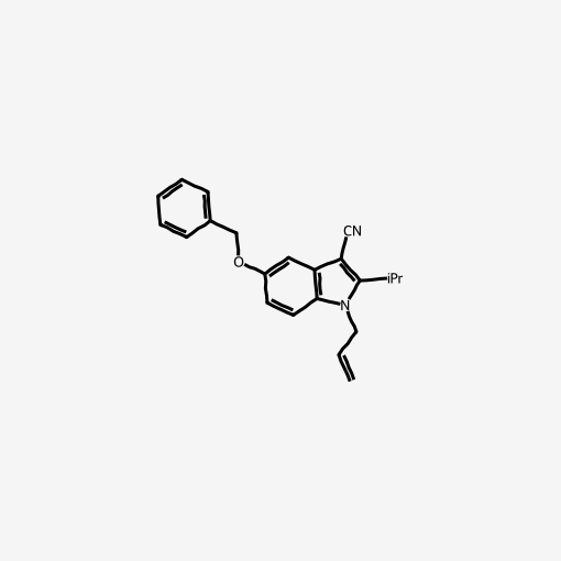 C=CCn1c(C(C)C)c(C#N)c2cc(OCc3ccccc3)ccc21